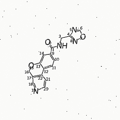 O=C(NCc1ncon1)c1ccc2c(c1)OCc1cnccc1-2